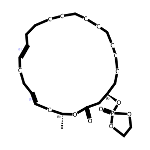 C[C@@H]1C/C=C/CC/C=C/CCCCCCCCCCCC[C@@H](OP2(=O)OCCO2)CC(=O)O1